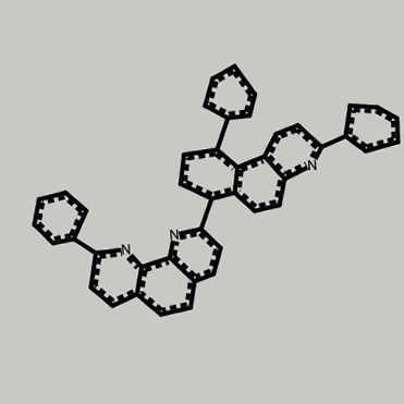 c1ccc(-c2ccc3c(ccc4c(-c5ccc6ccc7ccc(-c8ccccc8)nc7c6n5)ccc(-c5ccccc5)c43)n2)cc1